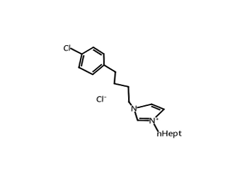 CCCCCCC[n+]1ccn(CCCCc2ccc(Cl)cc2)c1.[Cl-]